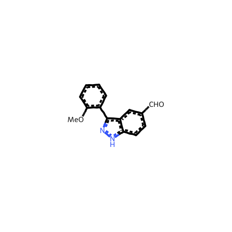 COc1ccccc1-c1n[nH]c2ccc(C=O)cc12